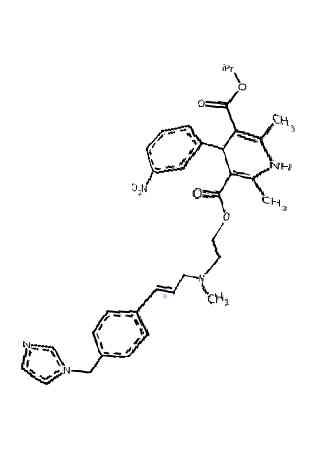 CC1=C(C(=O)OCCN(C)C/C=C/c2ccc(Cn3ccnc3)cc2)C(c2cccc([N+](=O)[O-])c2)C(C(=O)OC(C)C)=C(C)N1